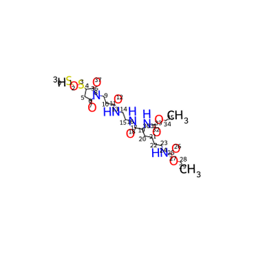 [3H]SOSC1CC(=O)N(CCC(=O)NCCNC(=O)C(CCCCNC(=O)OCC)NC(=O)OCC)C1=O